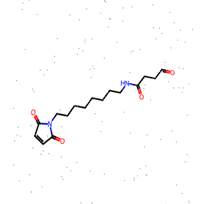 O=CCCC(=O)NCCCCCCCCN1C(=O)C=CC1=O